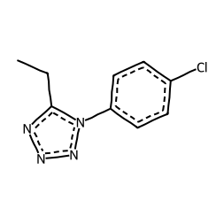 CCc1nnnn1-c1ccc(Cl)cc1